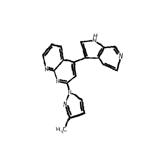 Cc1ccn(-c2cc(-c3c[nH]c4cnccc34)c3cccnc3n2)n1